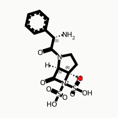 N[C@H](C(=O)N1CC[C@@H]2[C@H]1C(=O)[N+]2(S(=O)(=O)O)S(=O)(=O)O)c1ccccc1